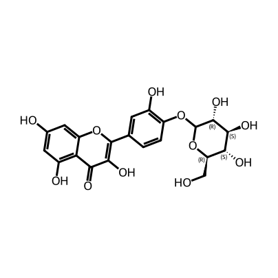 O=c1c(O)c(-c2ccc(OC3O[C@H](CO)[C@@H](O)[C@H](O)[C@H]3O)c(O)c2)oc2cc(O)cc(O)c12